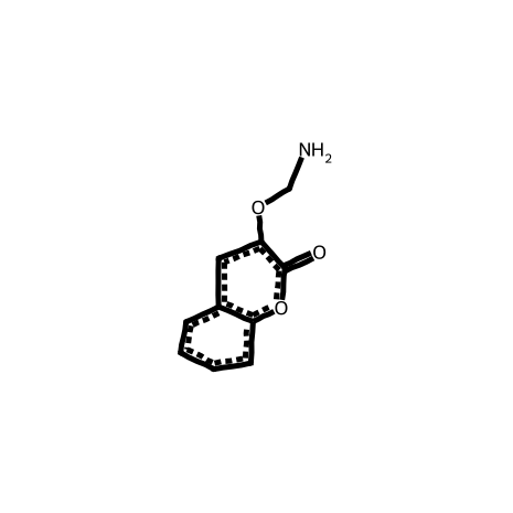 NCOc1cc2ccccc2oc1=O